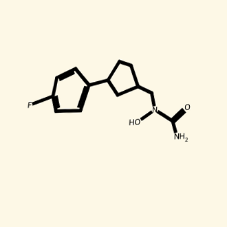 NC(=O)N(O)CC1CCC(c2ccc(F)cc2)C1